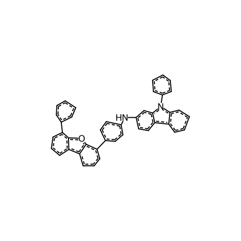 c1ccc(-c2cccc3c2oc2c(-c4ccc(Nc5ccc6c7ccccc7n(-c7ccccc7)c6c5)cc4)cccc23)cc1